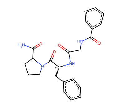 NC(=O)C1CCCN1C(=O)[C@H](Cc1ccccc1)NC(=O)CNC(=O)c1ccccc1